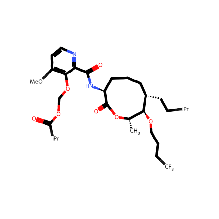 COc1ccnc(C(=O)N[C@H]2CCC[C@H](CCC(C)C)[C@@H](OCCCC(F)(F)F)[C@H](C)OC2=O)c1OCOC(=O)C(C)C